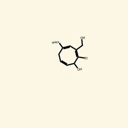 CCCCCC/C1=C/C(CO)=C(/CC)C(O)C=CC1